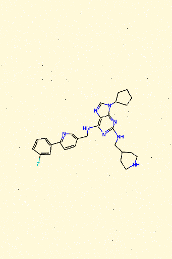 Fc1cccc(-c2ccc(CNc3nc(NCC4CCNCC4)nc4c3ncn4C3CCCC3)cn2)c1